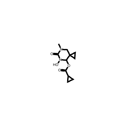 CN1CC2(CC2)C(OC(=O)C2CC2)N(O)C1=O